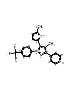 Cc1ccc(-c2c(C)c(-c3ccncc3)nn2-c2ccc(C(F)(F)F)cc2)o1